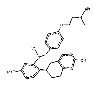 CCCN(C)CCOc1ccc(CN(CC)c2cc(OC)ccc2[C@@H]2CCc3cc(O)ccc3C2)cc1